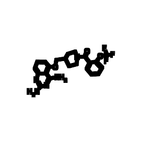 Nc1nc(N)c2c(OCC3CCN(C(=O)c4ccccc4OC(F)(F)F)CC3)cccc2n1